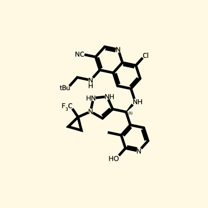 Cc1c([C@H](Nc2cc(Cl)c3ncc(C#N)c(NCC(C)(C)C)c3c2)C2=CN(C3(C(F)(F)F)CC3)NN2)ccnc1O